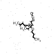 CCCCO[Si](CC)(CCN=C=O)OCCCC